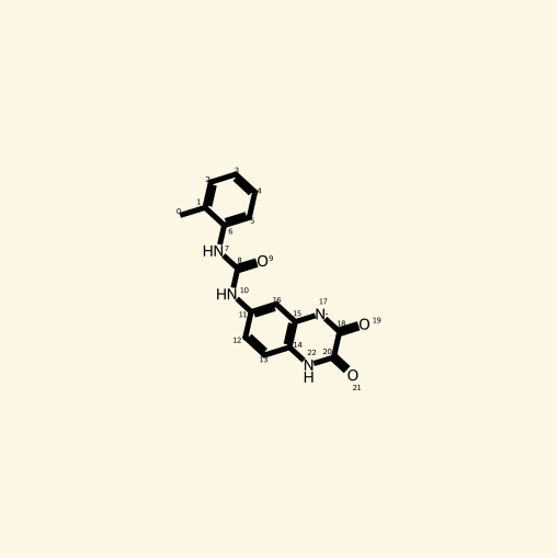 Cc1ccccc1NC(=O)Nc1ccc2c(c1)[N]C(=O)C(=O)N2